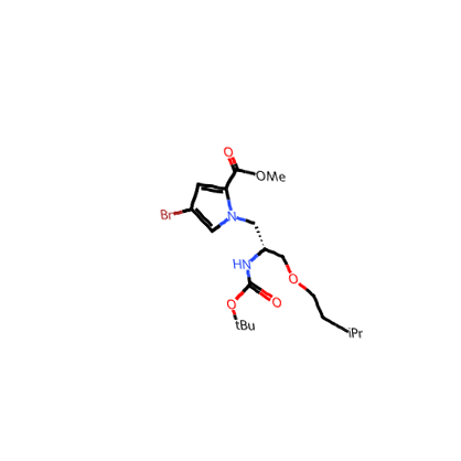 COC(=O)c1cc(Br)cn1C[C@H](COCCC(C)C)NC(=O)OC(C)(C)C